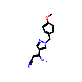 COc1ccc(Cn2cc(/C(N)=C/C#N)cn2)cc1